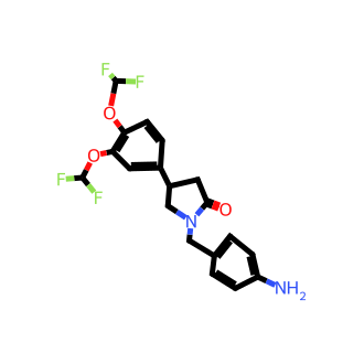 Nc1ccc(CN2CC(c3ccc(OC(F)F)c(OC(F)F)c3)CC2=O)cc1